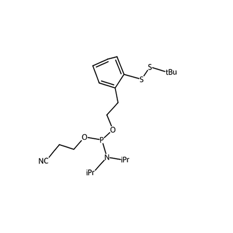 CC(C)N(C(C)C)P(OCCC#N)OCCc1ccccc1SSC(C)(C)C